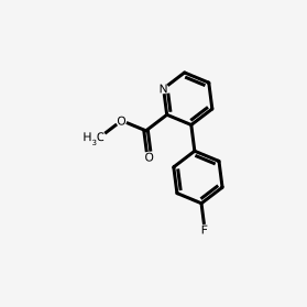 COC(=O)c1ncccc1-c1ccc(F)cc1